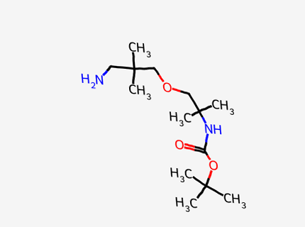 CC(C)(CN)COCC(C)(C)NC(=O)OC(C)(C)C